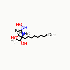 CCCCCCCCCCCCCCCCCC(C(C)O)(C(C)O)N(CC)C(CC)NO